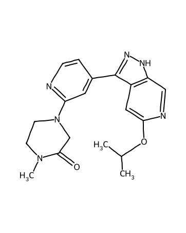 CC(C)Oc1cc2c(-c3ccnc(N4CCN(C)C(=O)C4)c3)n[nH]c2cn1